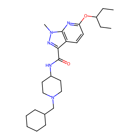 CCC(CC)Oc1ccc2c(C(=O)NC3CCN(CC4CCCCC4)CC3)nn(C)c2n1